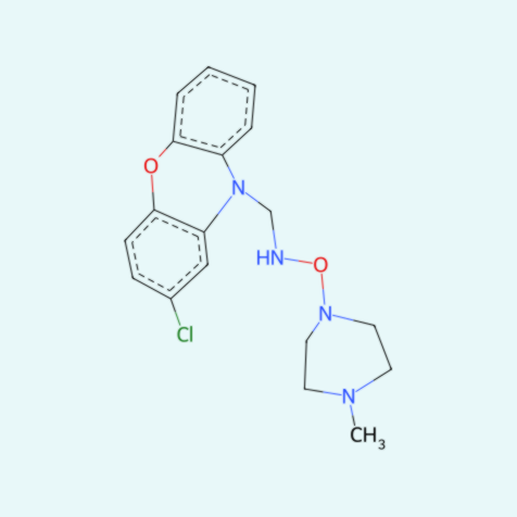 CN1CCN(ONCN2c3ccccc3Oc3ccc(Cl)cc32)CC1